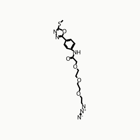 CSc1nnc(-c2ccc(NC(=O)COCCOCCOCCN=[N+]=[N-])cc2)o1